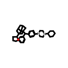 c1ccc(C(c2ccc(N3CCN(C4CCCCC4)CC3)cc2)C23CC4CC(CC(C5CCCC5)(C4)C2)C3)cc1